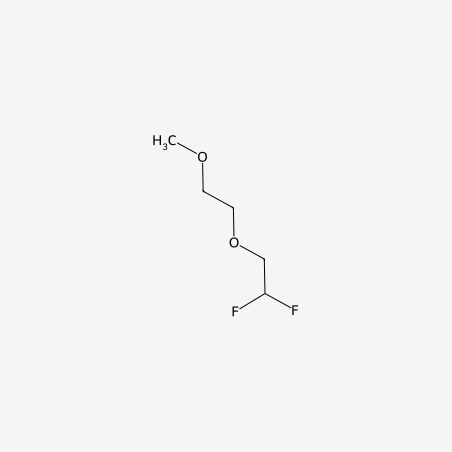 COCCOCC(F)F